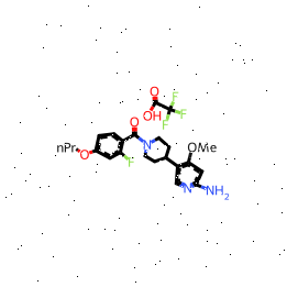 CCCOc1ccc(C(=O)N2CCC(c3cnc(N)cc3OC)CC2)c(F)c1.O=C(O)C(F)(F)F